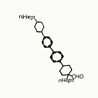 CCCCCCCC1CCC(c2ccc(-c3ccc(C4CCC(C=O)(CCCCCCC)CC4)cc3)cc2)CC1